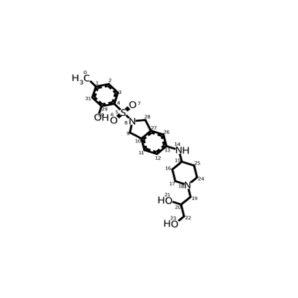 Cc1ccc(S(=O)(=O)N2Cc3ccc(NC4CCN(CC(O)CO)CC4)cc3C2)c(O)c1